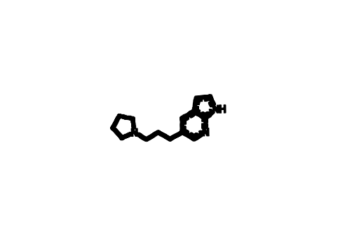 c1cc2cc(CCCN3CCCC3)cnc2[nH]1